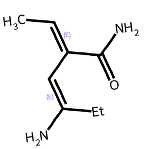 C/C=C(\C=C(\N)CC)C(N)=O